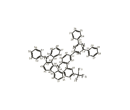 FC(F)(F)c1cccc(-c2cc(-c3nc(-c4ccccc4)nc(-c4ccccc4)n3)ccc2-n2c3ccccc3c3ccc4c(c5ccccc5n4-c4ccccc4)c32)c1